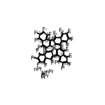 CCC[NH+](CCC)CCC.Fc1c(F)c(F)c2c(F)c([B-](c3c(F)c(F)c4c(F)c(F)c(F)c(F)c4c3F)(c3c(F)c(F)c4c(F)c(F)c(F)c(F)c4c3F)c3c(F)c(F)c4c(F)c(F)c(F)c(F)c4c3F)c(F)c(F)c2c1F